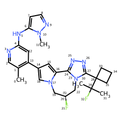 Cc1cnc(Nc2ccnn2C)cc1-c1cc2n(c1)C[C@H](F)Cn1c-2nnc1C1(C(C)(C)F)CCC1